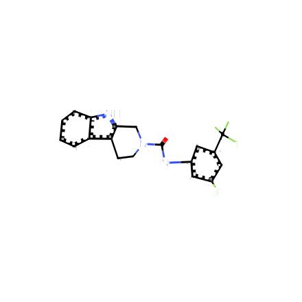 O=C(Nc1cc(F)cc(C(F)(F)F)c1)N1CCc2c([nH]c3ccccc23)C1